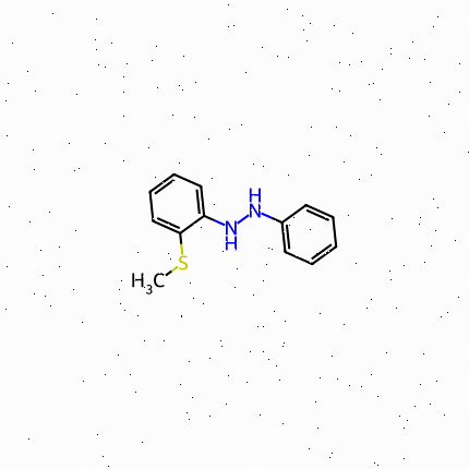 CSc1ccccc1NNc1ccccc1